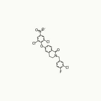 O=C1c2ccc(Oc3c(Cl)cc([N+](=O)[O-])cc3Cl)cc2CCN1Cc1ccc(F)c(Cl)c1